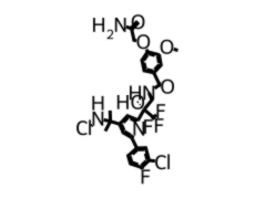 COc1cc(C(=O)NC[C@](O)(c2cc(C(C)(C)NCl)cc(-c3ccc(F)c(Cl)c3)n2)C(F)(F)F)ccc1OCC(N)=O